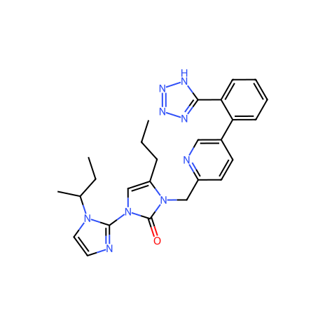 CCCc1cn(-c2nccn2C(C)CC)c(=O)n1Cc1ccc(-c2ccccc2-c2nnn[nH]2)cn1